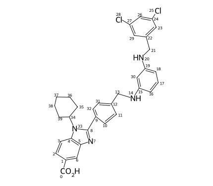 O=C(O)c1ccc2c(c1)nc(-c1ccc(CNc3cccc(NCc4cc(Cl)cc(Cl)c4)c3)cc1)n2C1CCCCC1